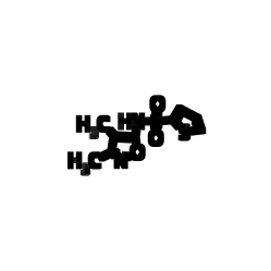 Cc1noc(NS(=O)(=O)c2cccs2)c1C